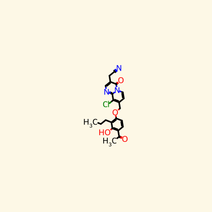 CCCc1c(OCc2ccn3c(=O)c(CC#N)cnc3c2Cl)ccc(C(C)=O)c1O